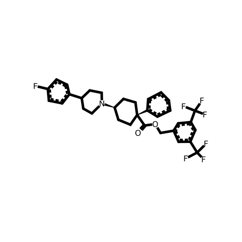 O=C(OCc1cc(C(F)(F)F)cc(C(F)(F)F)c1)[C@]1(c2ccccc2)CC[C@@H](N2CCC(c3ccc(F)cc3)CC2)CC1